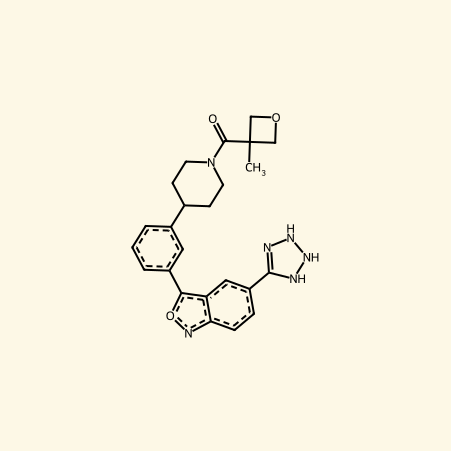 CC1(C(=O)N2CCC(c3cccc(-c4onc5ccc(C6=NNNN6)cc45)c3)CC2)COC1